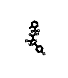 CCc1[nH]c(-c2ccc(Cl)cc2)nc1C(=O)NS(=O)(=O)c1ccccc1C